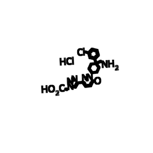 Cl.NCC1(c2cccc(Cl)c2)CCC(n2nc(-c3cn(CC(=O)O)nn3)ccc2=O)CC1